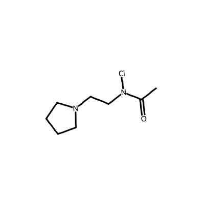 CC(=O)N(Cl)CCN1CCCC1